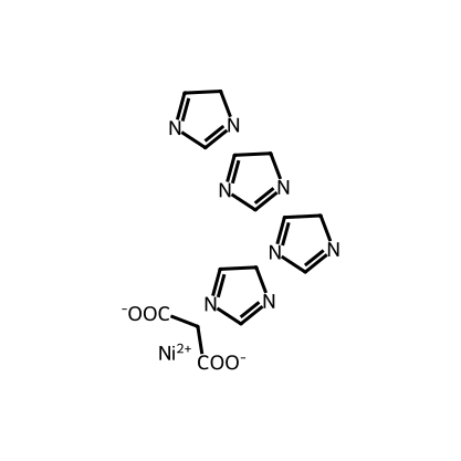 C1=NC=NC1.C1=NC=NC1.C1=NC=NC1.C1=NC=NC1.O=C([O-])CC(=O)[O-].[Ni+2]